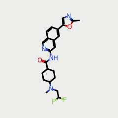 Cc1ncc(-c2ccc3cnc(NC(=O)C4CCC(N(C)CC(F)F)CC4)cc3c2)o1